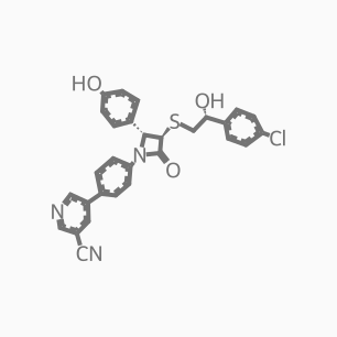 N#Cc1cncc(-c2ccc(N3C(=O)[C@H](SC[C@H](O)c4ccc(Cl)cc4)[C@H]3c3ccc(O)cc3)cc2)c1